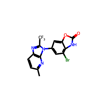 Cc1ccc2nc(C(F)(F)F)n(-c3cc(Br)c4[nH]c(=O)oc4c3)c2n1